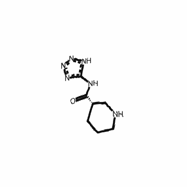 O=C(Nc1nnn[nH]1)[C@H]1CCCNC1